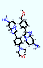 CNc1ccn2cc(-c3ccc(N4CCOCC4)cc3)nc2c1.COCc1ccc(-c2cn3ccc(N(C)C)cc3n2)cc1